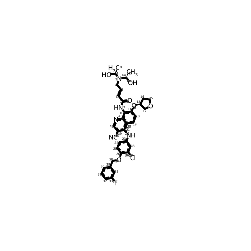 C[C@H](O)N(C/C=C/C(=O)Nc1c(O[C@H]2CCOC2)ccc2c(Nc3ccc(OCc4cccc(F)c4)c(Cl)c3)c(C#N)cnc12)[C@H](C)O